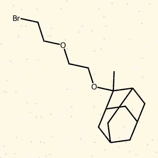 CC1(OCCOCCBr)C2CC3CC(C2)CC1C3